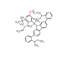 C=CCOc1c(C(C)(C)C)cc(OC)cc1[Si](C)(C)C1c2cc(-c3ccccc3C(C)CC)ccc2-c2ccc(-c3ccccc3C(C)CC)cc21